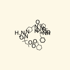 CC(CC(C)(C)C(=O)N=C(N)N1CCC(CNC(=O)[C@@H]2CCCN2C(=O)[C@@H](Cc2ccccc2)NS(C)(=O)=O)CC1)OC(=O)OCC1CCCCC1